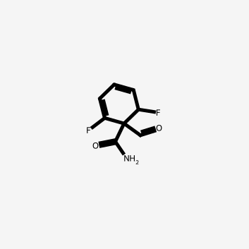 NC(=O)C1([C]=O)C(F)=CC=CC1F